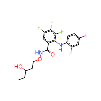 CCC(O)CCONC(=O)c1cc(F)c(F)c(F)c1Nc1ccc(I)cc1F